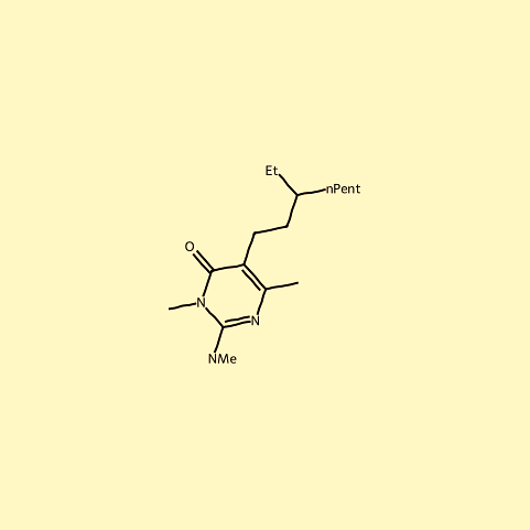 CCCCCC(CC)CCc1c(C)nc(NC)n(C)c1=O